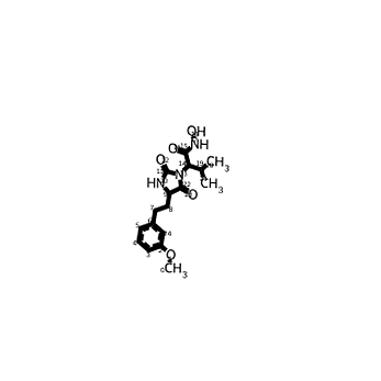 COc1cccc(CCC2NC(=O)N(C(C(=O)NO)C(C)C)C2=O)c1